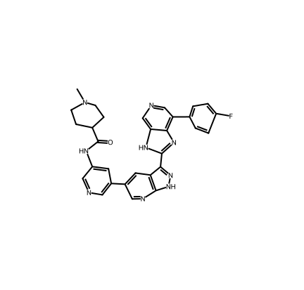 CN1CCC(C(=O)Nc2cncc(-c3cnc4[nH]nc(-c5nc6c(-c7ccc(F)cc7)cncc6[nH]5)c4c3)c2)CC1